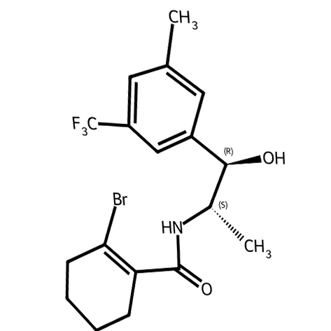 Cc1cc([C@@H](O)[C@H](C)NC(=O)C2=C(Br)CCCC2)cc(C(F)(F)F)c1